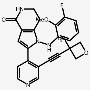 COc1c(F)cccc1Nn1c(-c2ccncc2C#CC2(C)COC2)cc2c1CCNC2=O